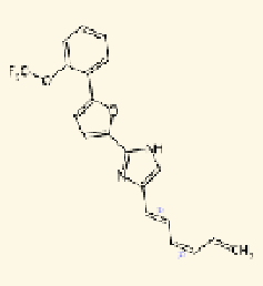 C=C/C=C\C=C\c1c[nH]c(-c2ccc(-c3ccccc3OC(F)(F)F)o2)n1